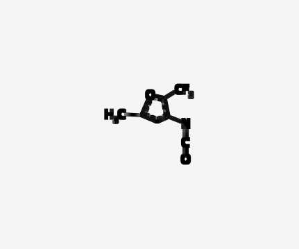 Cc1cc(N=C=O)c(C(F)(F)F)o1